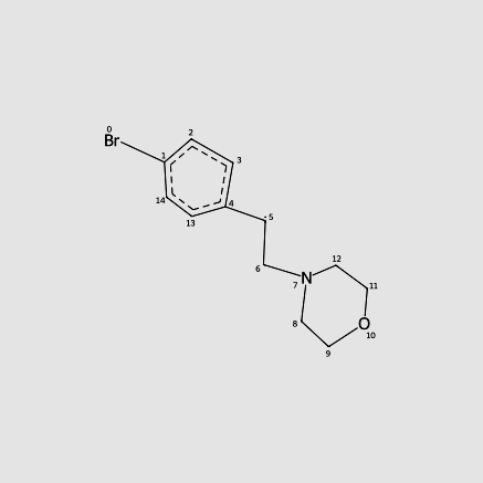 Brc1ccc([CH]CN2CCOCC2)cc1